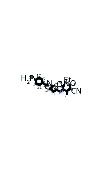 CCN1C(=O)C(C#N)=C(C)/C(=C/c2cc3sc(-c4ccc(P)cc4)nc3s2)C1=O